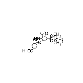 COc1ccc(S(=O)(=O)Nc2ccc(B3OC(C)(C)C(C)(C)O3)c3c2OCO3)cc1